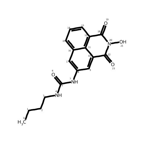 CCCCNC(=O)Nc1cc2c3c(cccc3c1)C(=O)N(O)C2=O